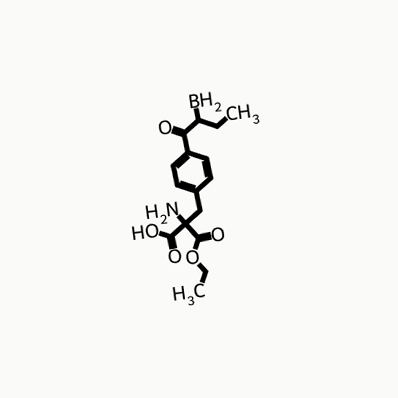 BC(CC)C(=O)c1ccc(CC(N)(C(=O)O)C(=O)OCC)cc1